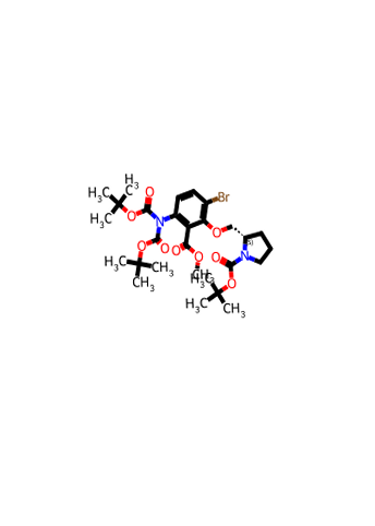 COC(=O)c1c(N(C(=O)OC(C)(C)C)C(=O)OC(C)(C)C)ccc(Br)c1OC[C@@H]1CCCN1C(=O)OC(C)(C)C